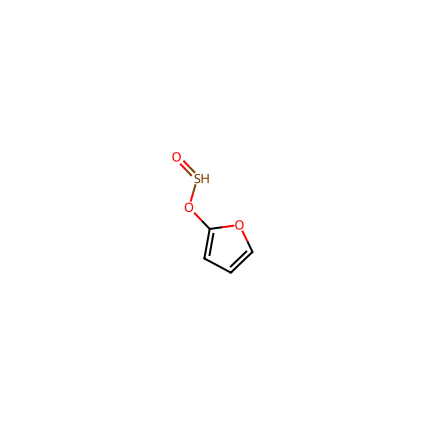 O=[SH]Oc1ccco1